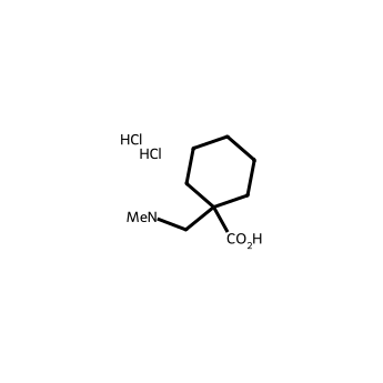 CNCC1(C(=O)O)CCCCC1.Cl.Cl